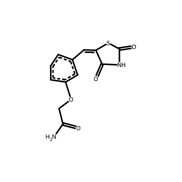 NC(=O)COc1cccc(/C=C2/SC(=O)NC2=O)c1